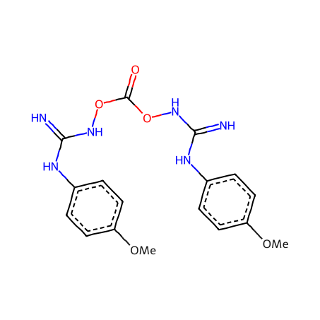 COc1ccc(NC(=N)NOC(=O)ONC(=N)Nc2ccc(OC)cc2)cc1